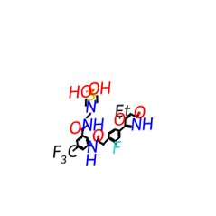 CCOc1cc(=O)[nH]cc1-c1ccc(CC(=O)Nc2cc(C(=O)NCCN3CCS(O)(O)CC3)cc(C(F)(F)F)c2)c(F)c1